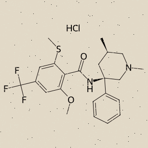 COc1cc(C(F)(F)F)cc(SC)c1C(=O)N[C@@]1(c2ccccc2)C[C@@H](C)CN(C)C1.Cl